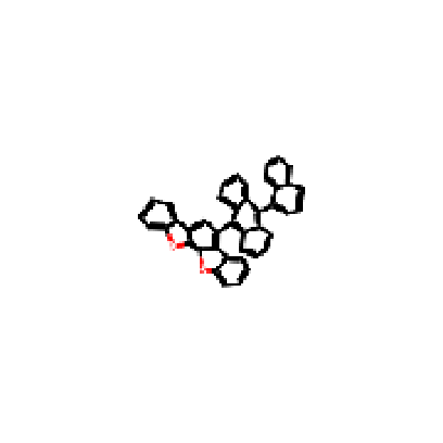 c1ccc2c(-c3c4ccccc4c(-c4cc5c6ccccc6oc5c5oc6ccccc6c45)c4ccccc34)cccc2c1